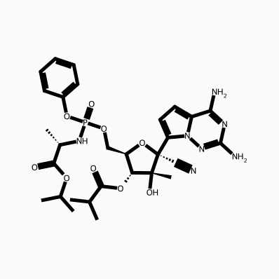 CC(C)OC(=O)[C@H](C)NP(=O)(OC[C@H]1O[C@@](C#N)(c2ccc3c(N)nc(N)nn23)[C@](C)(O)[C@@H]1OC(=O)C(C)C)Oc1ccccc1